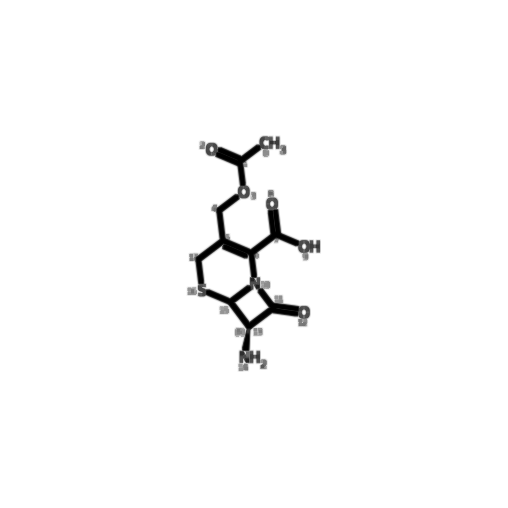 CC(=O)OCC1=C(C(=O)O)N2C(=O)[C@@H](N)C2SC1